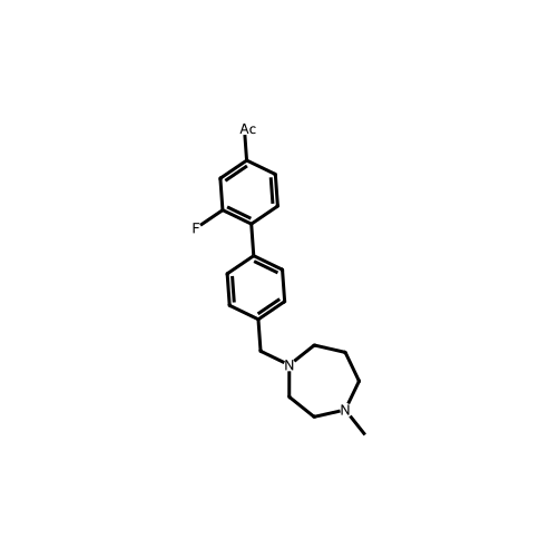 CC(=O)c1ccc(-c2ccc(CN3CCCN(C)CC3)cc2)c(F)c1